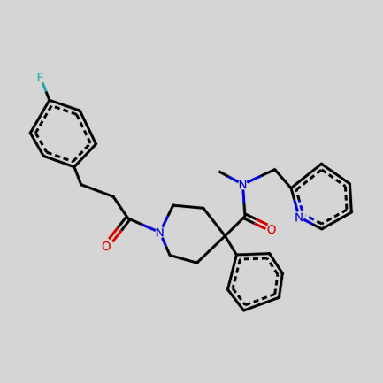 CN(Cc1ccccn1)C(=O)C1(c2ccccc2)CCN(C(=O)CCc2ccc(F)cc2)CC1